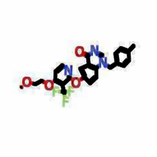 COCCOc1ccnc(Oc2ccc3c(c2)c(=O)ncn3Cc2ccc(C)cc2)c1C(F)(F)F